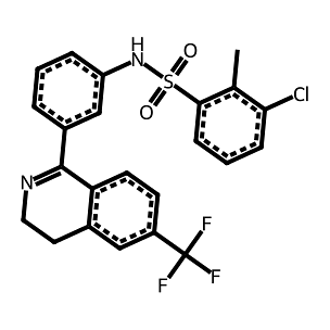 Cc1c(Cl)cccc1S(=O)(=O)Nc1cccc(C2=NCCc3cc(C(F)(F)F)ccc32)c1